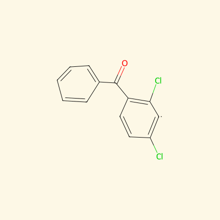 O=C(c1ccccc1)c1ccc(Cl)[c]c1Cl